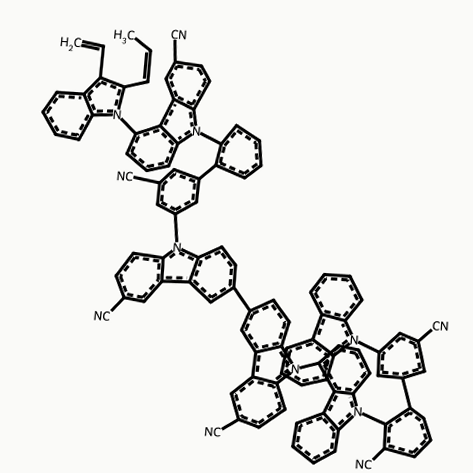 C=Cc1c(/C=C\C)n(-c2cccc3c2c2cc(C#N)ccc2n3-c2ccccc2-c2cc(C#N)cc(-n3c4ccc(C#N)cc4c4cc(-c5ccc6c(c5)c5cc(C#N)ccc5n6-c5cccc6c5c5ccccc5n6-c5c(C#N)cccc5-c5cc(C#N)cc(-n6c7ccccc7c7ccccc76)c5)ccc43)c2)c2ccccc12